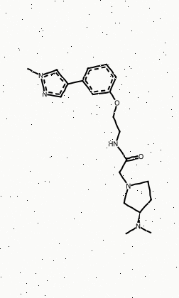 CN(C)[C@@H]1CCN(CC(=O)NCCOc2c[c]cc(-c3cnn(C)c3)c2)C1